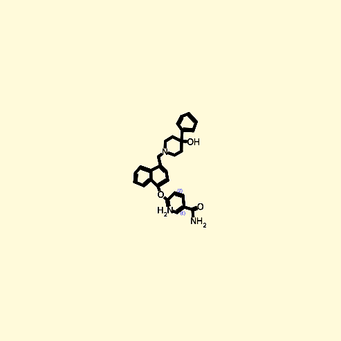 C=C(/C=C\C(=C/N)C(N)=O)Oc1ccc(CN2CCC(O)(c3ccccc3)CC2)c2ccccc12